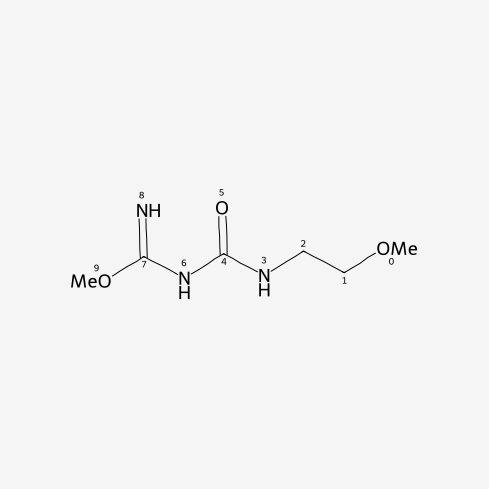 COCCNC(=O)NC(=N)OC